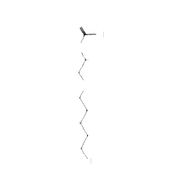 CC(C)CCCCCOCCOC(=S)S